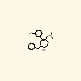 CN(C)CC1=C(c2cccc(O)c2)CC(Cc2ccccc2)CCC1.Cl